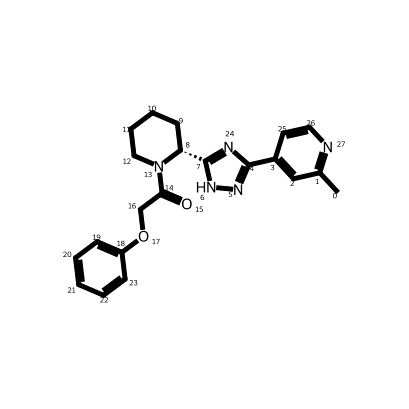 Cc1cc(-c2n[nH]c([C@H]3CCCCN3C(=O)COc3ccccc3)n2)ccn1